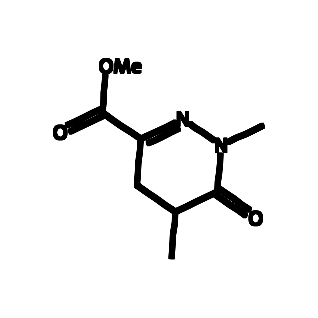 COC(=O)C1=NN(C)C(=O)C(C)C1